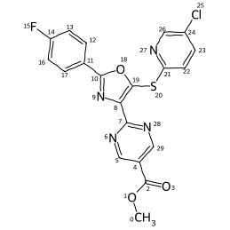 COC(=O)c1cnc(-c2nc(-c3ccc(F)cc3)oc2Sc2ccc(Cl)cn2)nc1